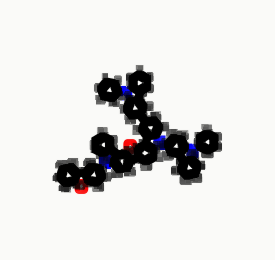 c1ccc(-n2c3ccccc3c3cc(-c4ccc5c(c4)c4c6oc7c(ccc8c7c7ccccc7n8-c7ccc8oc9ccccc9c8c7)c6ccc4n5-c4ccc5c(c4)c4ccccc4n5-c4ccccc4)ccc32)cc1